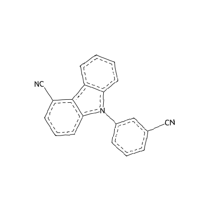 N#Cc1cccc(-n2c3ccccc3c3c(C#N)cccc32)c1